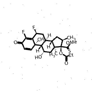 CCC(=O)O[C@]1(C(=S)OC)[C@H](C)C[C@H]2[C@@H]3C[C@H](F)C4=C(F)C(=O)C=C[C@]4(C)[C@H]3[C@@H](O)C[C@@]21C